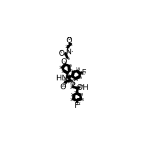 O=CC[N]C(=O)COc1ccc([C@]2(c3ccc(F)cc3)NC(=O)[C@@H]2SCC(O)c2ccc(F)cc2)cc1